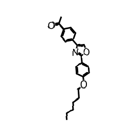 CCCCCCOc1ccc(-c2nc(-c3ccc(C(C)=O)cc3)co2)cc1